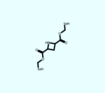 O=C(OC[SeH])C1CC(C(=O)OC[SeH])N1